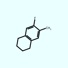 Cc1cc2c(cc1F)CCCC2